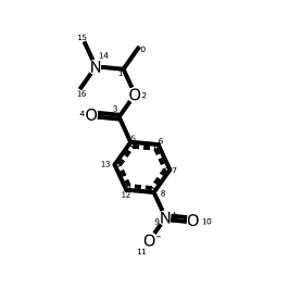 CC(OC(=O)c1ccc([N+](=O)[O-])cc1)N(C)C